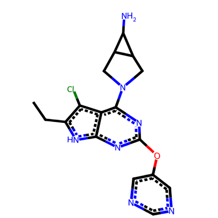 CCc1[nH]c2nc(Oc3cncnc3)nc(N3CC4C(N)C4C3)c2c1Cl